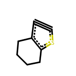 c1sc2c(c#1)CCCC2